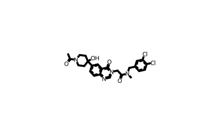 CC(=O)N1CCC(O)(c2ccc3ncn(CC(=O)N(C)Cc4ccc(Cl)c(Cl)c4)c(=O)c3c2)CC1